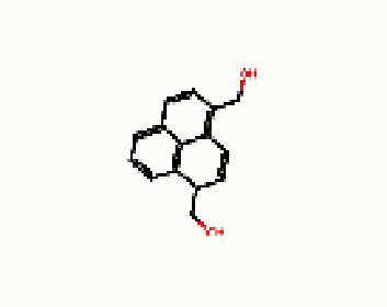 OCc1ccc2cccc3c2c1C=CC3CO